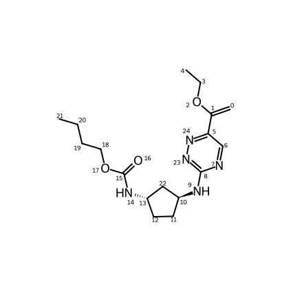 C=C(OCC)c1cnc(N[C@H]2CC[C@H](NC(=O)OCCCC)C2)nn1